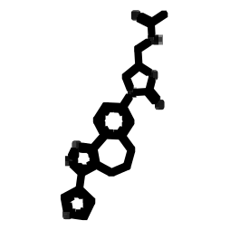 CC(=O)NCC1CN(c2ccc3c(c2)CCCc2c(-c4ccoc4)noc2-3)C(=O)O1